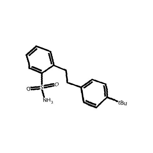 CC(C)(C)c1ccc(CCc2ccccc2S(N)(=O)=O)cc1